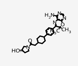 CC1(C)Oc2ncnc(N)c2N=C1c1ccc(C2CCC(CC(=O)N3CC[C@@H](O)C3)CC2)cc1